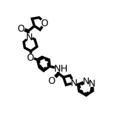 O=C(Nc1ccc(OC2CCN(C(=O)C3CCOC3)CC2)cc1)C1CN(c2cccnn2)C1